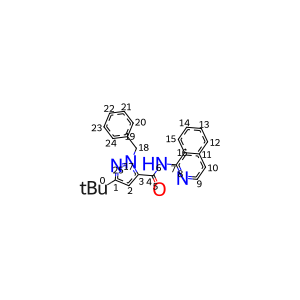 CC(C)(C)c1cc(C(=O)Nc2nccc3ccccc23)n(Cc2ccccc2)n1